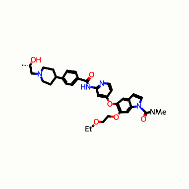 CCOCCOc1cc2c(ccn2C(=O)NC)cc1Oc1ccnc(NC(=O)c2ccc(C3CCN(C[C@H](C)O)CC3)cc2)c1